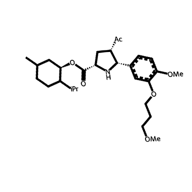 COCCCOc1cc([C@@H]2N[C@H](C(=O)O[C@@H]3CC(C)CCC3C(C)C)C[C@@H]2C(C)=O)ccc1OC